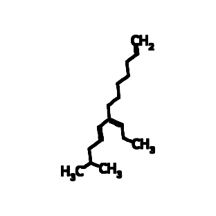 C=CCCCCCC(C=CCC(C)C)=CCC